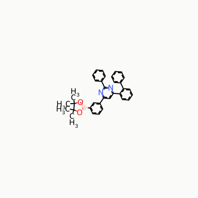 CC1(C)OB(c2cccc(-c3cc(-c4ccccc4-c4ccccc4)nc(-c4ccccc4)n3)c2)OC1(C)C